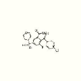 CC[C@@](O)(c1cc(F)c(C(=O)c2ccc(Cl)cc2)c(C(=O)OC)c1)C1CCOCC1